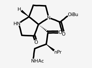 CCC[C@@H](CNC(C)=O)C(=O)[C@]12C(=O)CN[C@@H]1CCN2C(=O)OCC(C)C